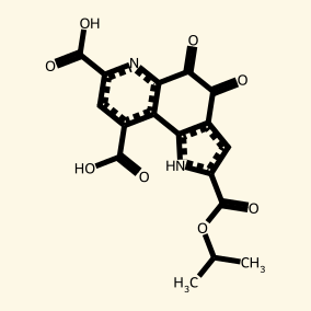 CC(C)OC(=O)c1cc2c([nH]1)-c1c(C(=O)O)cc(C(=O)O)nc1C(=O)C2=O